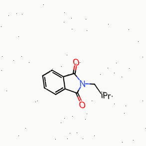 C[C](C)CN1C(=O)c2ccccc2C1=O